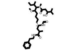 CCC(C)C(C(CCCC[C@@H](CC(C)C(=O)NCCc1ccccc1)NC=O)OC)N(C)C(=O)CC(O)C(C)C